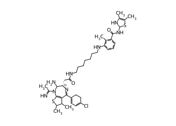 CC(=N)N1C2=C(C(C3=CC=C(Cl)CC3)=N[C@@H](CC(=O)NCCCCCCCNc3cccc(C(=O)NC4NC(C)=C(C)S4)c3C)C1N)C(C)C(C)S2